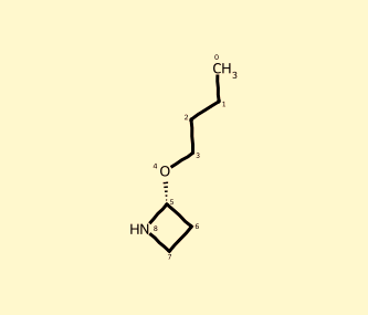 CCCCO[C@@H]1CCN1